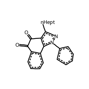 CCCCCCCc1nn(-c2ccccc2)c2c1C(=O)C(=O)c1ccccc1-2